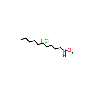 CCCCCCCCCCNOC.Cl